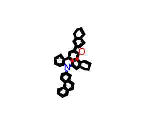 C1=Cc2ccc(N(c3ccc4c(ccc5ccccc54)c3)c3ccccc3-c3ccc4oc5cc6c(cc5c4c3)CCC=C6)cc2CC1